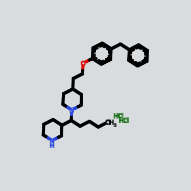 CCCCC(C1CCCNC1)N1CCC(CCOc2ccc(Cc3ccccc3)cc2)CC1.Cl.Cl